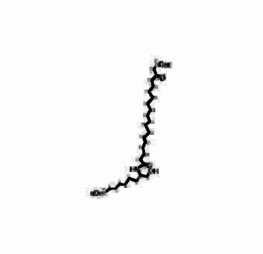 CCCCCCCCCCCCCCCC[C@H](CO)NC(=O)CCCCCCCCCCCCCCCC(=O)CCCCCCCCCCC